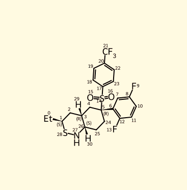 CC[C@H]1C[C@@H]2C[C@](c3cc(F)ccc3F)(S(=O)(=O)c3ccc(C(F)(F)F)cc3)CC[C@@H]2NS1